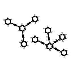 C(#Cc1cc(C#Cc2ccccc2)cc(C#Cc2ccccc2)c1)c1ccccc1.C(#Cc1ccc(C#Cc2ccccc2)c(C#Cc2ccccc2)c1C#Cc1ccccc1)c1ccccc1